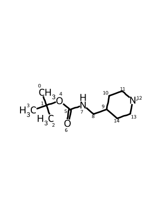 CC(C)(C)OC(=O)NCC1CC[N]CC1